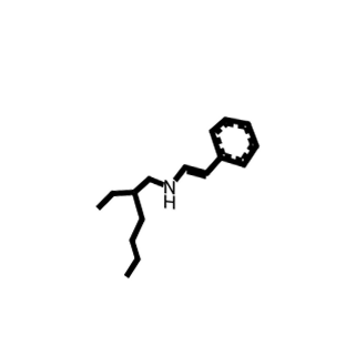 CCCCC(CC)CNC=Cc1ccccc1